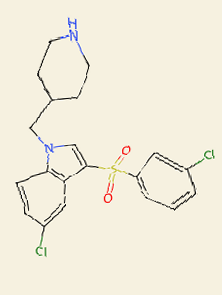 O=S(=O)(c1cccc(Cl)c1)c1cn(CC2CCNCC2)c2ccc(Cl)cc12